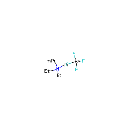 CCC[N+](CC)(CC)C(C)C.F[B-](F)(F)F